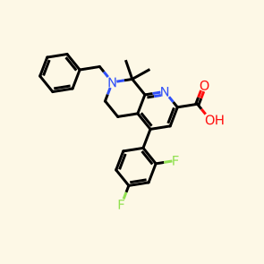 CC1(C)c2nc(C(=O)O)cc(-c3ccc(F)cc3F)c2CCN1Cc1ccccc1